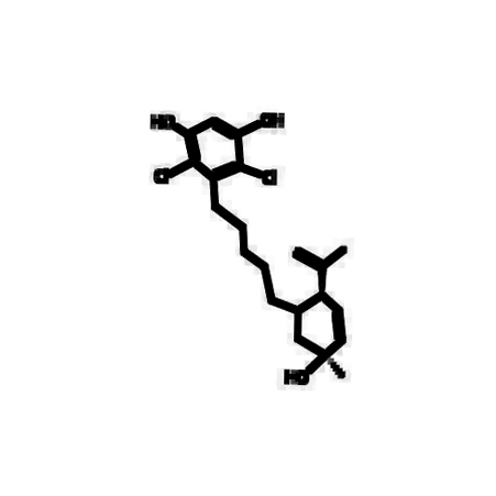 C=C(C)[C@H]1C=C[C@@](C)(O)CC1CCCCCc1c(Cl)c(O)cc(O)c1Cl